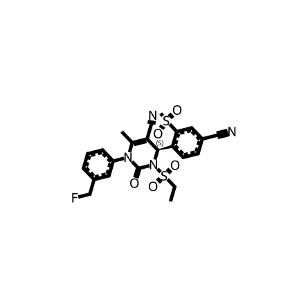 CCS(=O)(=O)N1C(=O)N(c2cccc(CF)c2)C(C)=C(C#N)[C@H]1c1ccc(C#N)cc1S(C)(=O)=O